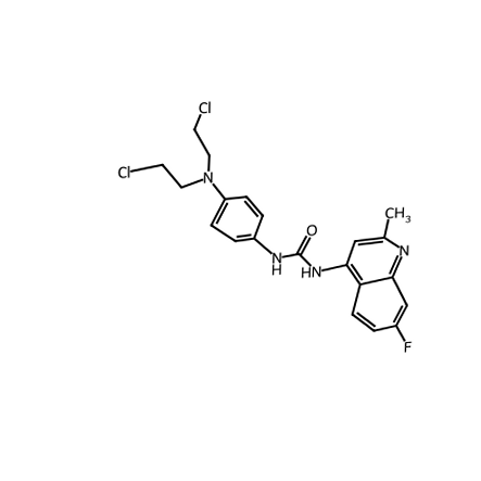 Cc1cc(NC(=O)Nc2ccc(N(CCCl)CCCl)cc2)c2ccc(F)cc2n1